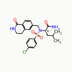 CC(C)C[C@H](C(N)=O)N(Cc1ccc2c(c1)CCNC2=O)S(=O)(=O)c1ccc(Cl)cc1